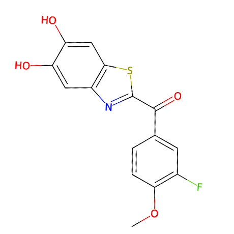 COc1ccc(C(=O)c2nc3cc(O)c(O)cc3s2)cc1F